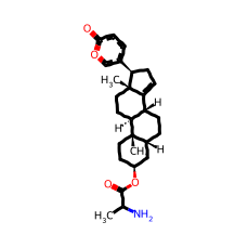 CC(N)C(=O)O[C@H]1CC[C@@]2(C)[C@H](CC[C@H]3C4=CC[C@H](c5ccc(=O)oc5)[C@@]4(C)CC[C@@H]32)C1